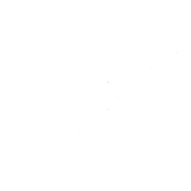 COc1ccc(OC(F)(F)F)cc1C1=CNC2(CCCC(C(=O)OC(C)(C)C)C2c2ccccc2)C1=O